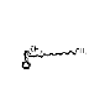 CCCCCCCCCCCCCCC1N(C)C=CN1c1ccccc1